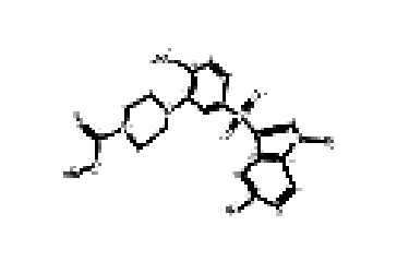 CCn1cc(S(=O)(=O)c2ccc(OC)c(N3CCN(C(=O)OC(C)(C)C)CC3)c2)c2cc(Br)ccc21